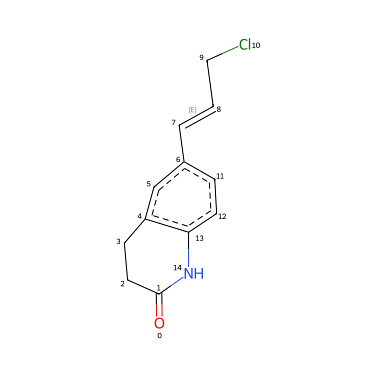 O=C1CCc2cc(/C=C/CCl)ccc2N1